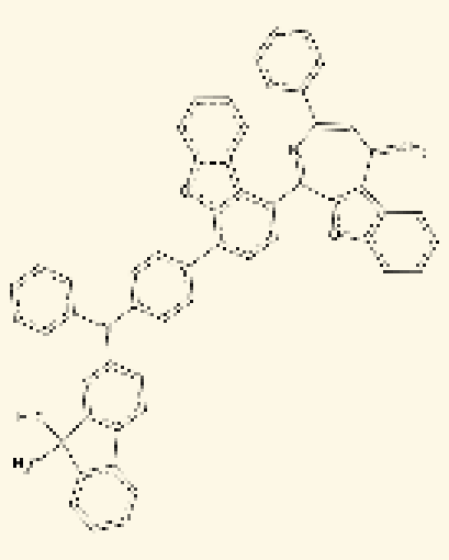 C=C1C=C(c2ccccc2)N=C(c2ccc(-c3ccc(N(c4ccccc4)c4ccc5c(c4)C(C)(C)c4ccccc4-5)cc3)c3oc4ccccc4c23)c2oc3ccccc3c21